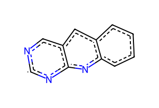 [c]1ncc2cc3ccccc3nc2n1